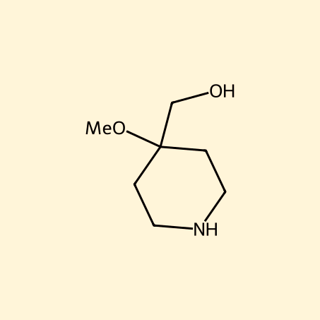 COC1(CO)CCNCC1